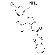 NCc1cc(Cl)ccc1-c1csc(NC(=O)c2nc3ccccc3o2)c1C(=O)O